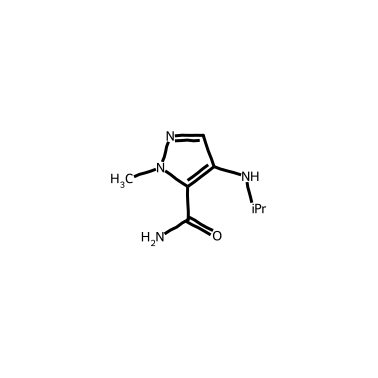 CC(C)Nc1cnn(C)c1C(N)=O